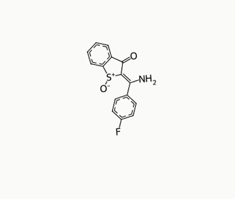 N/C(=C1\C(=O)c2ccccc2[S+]1[O-])c1ccc(F)cc1